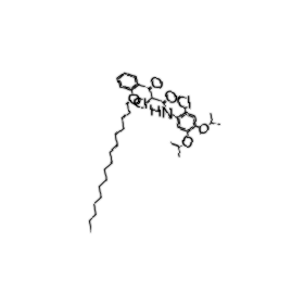 CCCCCCCCCCCCCCCCOc1ccccc1C(=O)C(Cl)C(=O)Nc1cc(OC(C)C)c(OC(C)C)cc1Cl